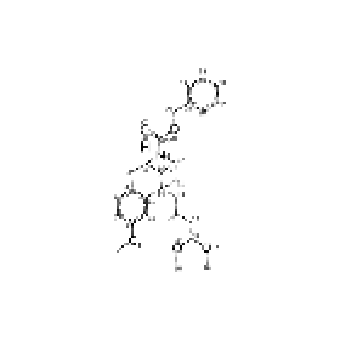 C=C1[C@H]2Cc3ccc(OC)cc3[C@]1(CCCC(OC)OC)CCN2C(=O)OCc1ccccc1